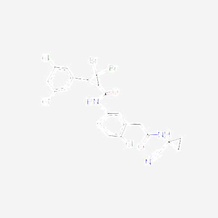 N#CC1(NC(=O)Cc2cc(NC(=O)C3C(c4cc(Cl)cc(Cl)c4)C3(Br)Br)ccc2Cl)CC1